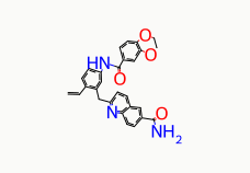 C=Cc1ccc(NC(=O)c2ccc3c(c2)OCCO3)cc1Cc1ccc2cc(C(N)=O)ccc2n1